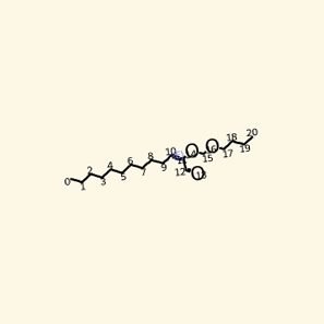 CCCCCCCCCC/C=C(\C=O)OCOCCCC